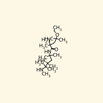 CCOC(C)(C)CC(C)(N)C(=O)NC(C)(C)CC(C)(C)C(C)(C)NC